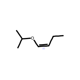 CC/C=C\OC(C)C